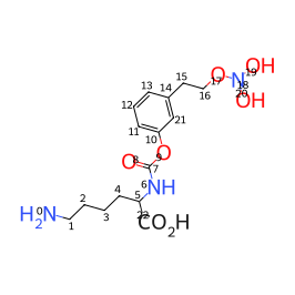 NCCCCC(NC(=O)Oc1cccc(CCON(O)O)c1)C(=O)O